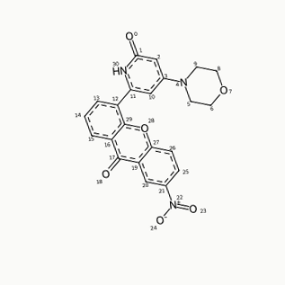 O=c1cc(N2CCOCC2)cc(-c2cccc3c(=O)c4cc([N+](=O)[O-])ccc4oc23)[nH]1